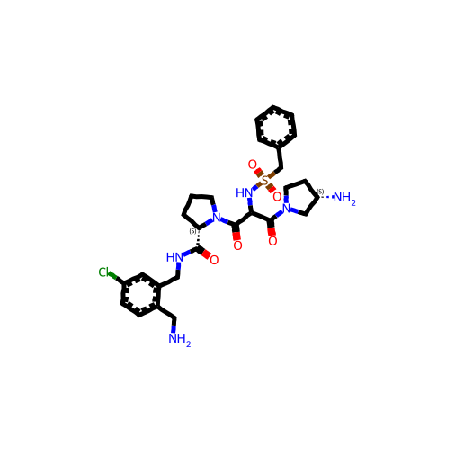 NCc1ccc(Cl)cc1CNC(=O)[C@@H]1CCCN1C(=O)C(NS(=O)(=O)Cc1ccccc1)C(=O)N1CC[C@H](N)C1